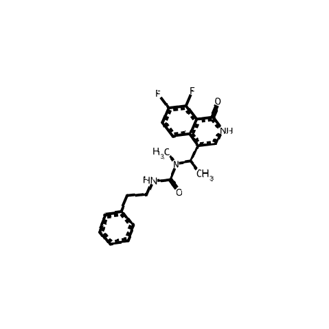 CC(c1c[nH]c(=O)c2c(F)c(F)ccc12)N(C)C(=O)NCCc1ccccc1